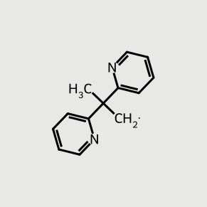 [CH2]C(C)(c1ccccn1)c1ccccn1